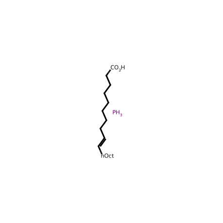 CCCCCCCCC=CCCCCCCCC(=O)O.P